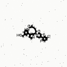 CC1CCCC(N2CCC(c3c(F)ccc(Cl)c3F)=CC2=O)c2cc(ccn2)-c2cc(CO)ccc2NC1=O